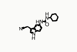 N#CCc1c[nH]c2ccc(NC(=O)NC3CCCCC3)cc12